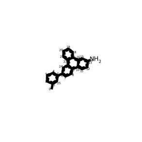 Cc1cccc(-c2ccc3c4ccc(N)cc4c4ccccc4c3c2)c1